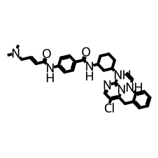 C=CNc1ccccc1Cc1nc(NC2CCCC(NC(=O)c3ccc(NC(=O)/C=C/CN(C)C)cc3)C2)ncc1Cl